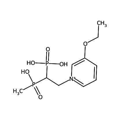 CCOc1ccc[n+](CC(P(C)(=O)O)P(=O)(O)O)c1